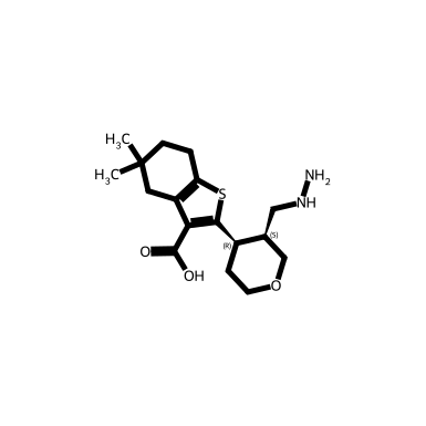 CC1(C)CCc2sc([C@@H]3CCOC[C@@H]3CNN)c(C(=O)O)c2C1